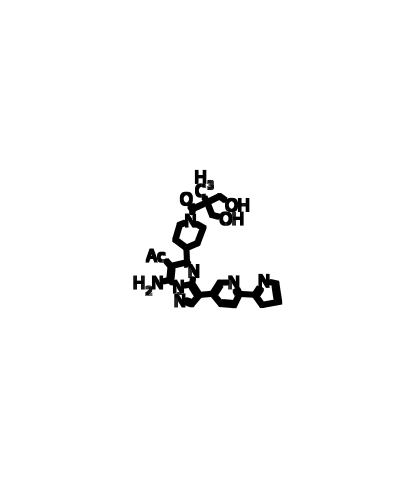 CC(=O)c1c(C2CCN(C(=O)C(C)(CO)CO)CC2)nc2c(-c3ccc(C4=NC=CC4)nc3)cnn2c1N